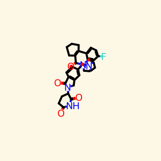 O=C1CCC(N2Cc3cc(CN4C5CC4CN(C(=O)C4=C(c6ccc(F)cc6)CCCC4)C5)ccc3C2=O)C(=O)N1